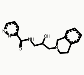 O=C(NCC(O)CN1CCc2ccccc2C1)c1cccnn1